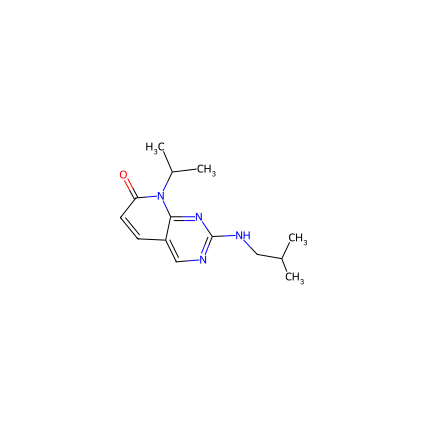 CC(C)CNc1ncc2ccc(=O)n(C(C)C)c2n1